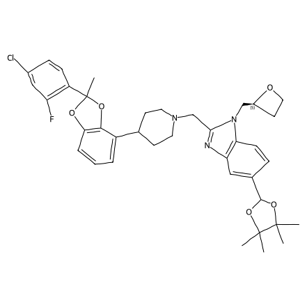 CC1(c2ccc(Cl)cc2F)Oc2cccc(C3CCN(Cc4nc5cc(C6OC(C)(C)C(C)(C)O6)ccc5n4C[C@@H]4CCO4)CC3)c2O1